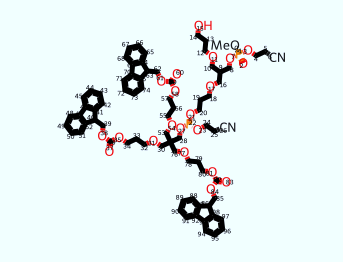 COP(=O)(OCCC#N)OCC(COCCCO)COCCCOP(OCCC#N)OCC(COCCCOC(=O)OCC1c2ccccc2-c2ccccc21)(COCCCOC(=O)OCC1c2ccccc2-c2ccccc21)COCCCOC(=O)OCC1c2ccccc2-c2ccccc21